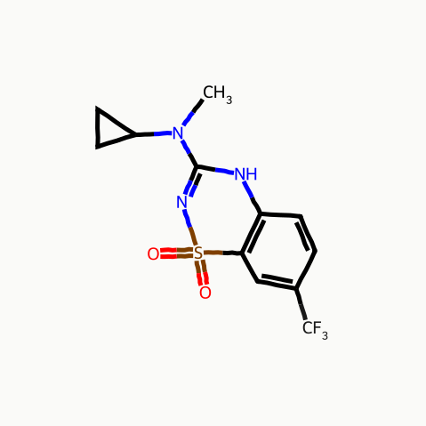 CN(C1=NS(=O)(=O)c2cc(C(F)(F)F)ccc2N1)C1CC1